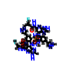 Cc1nc2c(Nc3ccc(-c4cnn(CC5[C@@H](F)[C@H]5C(=O)Nc5cc(Nc6ccc(-c7cnn(C)c7)cc6N(C)S(C)(=O)=O)c6nc(C)[nH]c6n5)c4)cc3N(C)S(C)(=O)=O)cc(NC(=O)[C@@H]3C[C@@H]3F)nc2[nH]1